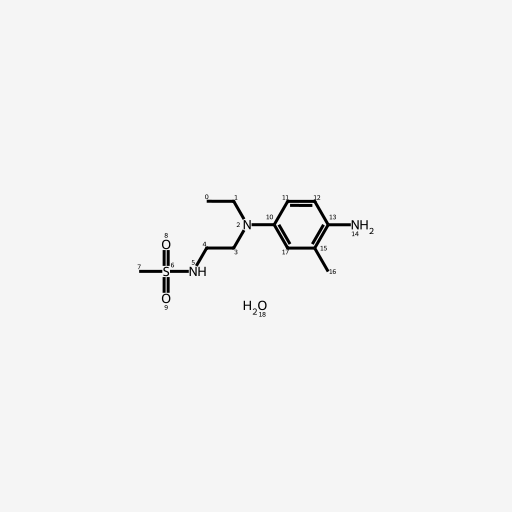 CCN(CCNS(C)(=O)=O)c1ccc(N)c(C)c1.O